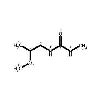 CNC(=O)NCC(C)OC